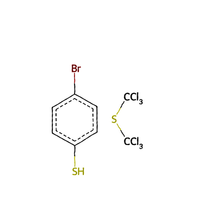 ClC(Cl)(Cl)SC(Cl)(Cl)Cl.Sc1ccc(Br)cc1